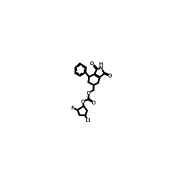 O=C(OCC1CC2=C(C(=O)NC2=O)C(c2ccccc2)C1)OC1CC(Cl)CC1F